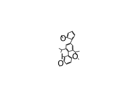 COc1ccccc1-c1cc(C(C)C)c(-c2c(OC)ccc(OC)c2I)c(C(C)C)c1